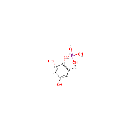 Cc1cc(O)cc(O)c1OP(=O)(O)O